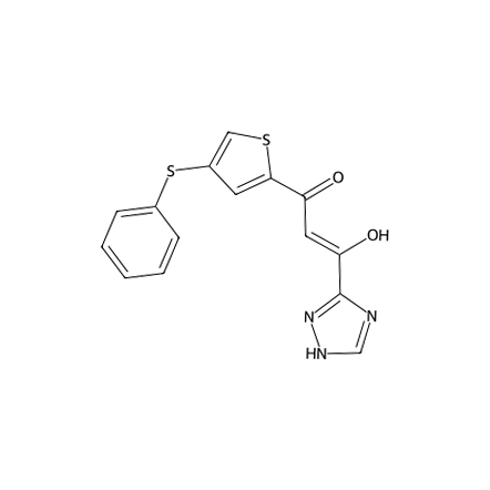 O=C(C=C(O)c1nc[nH]n1)c1cc(Sc2ccccc2)cs1